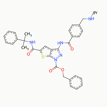 CC(C)NCc1ccc(C(=O)Nc2nn(C(=O)OCc3ccccc3)c3sc(C(=O)NC(C)(C)c4ccccc4)cc23)cc1